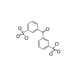 O=C(c1cccc(S(=O)(=O)Cl)c1)c1cccc(S(=O)(=O)Cl)c1